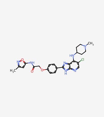 Cc1cc(NC(=O)COc2ccc(-c3nc4c(NC5CCN(C)CC5)c(Cl)cnc4[nH]3)cc2)on1